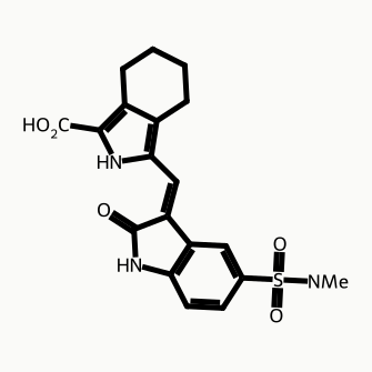 CNS(=O)(=O)c1ccc2c(c1)/C(=C/c1[nH]c(C(=O)O)c3c1CCCC3)C(=O)N2